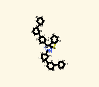 c1ccc(-c2cccc(-c3ccc(-c4nc(-c5cccc(-c6cccc(-c7ccccc7)c6)c5)nc5sc6ccccc6c45)cc3)c2)cc1